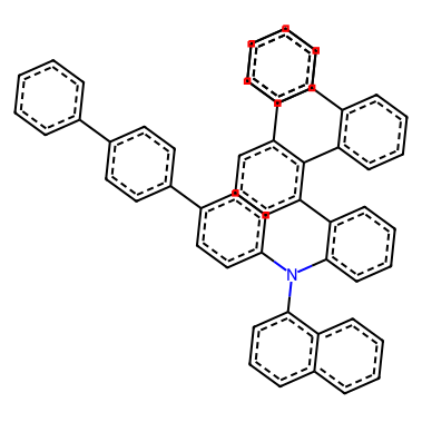 c1ccc(-c2ccc(-c3ccc(N(c4ccccc4-c4cccc(-c5ccccc5)c4-c4ccccc4-c4ccccc4)c4cccc5ccccc45)cc3)cc2)cc1